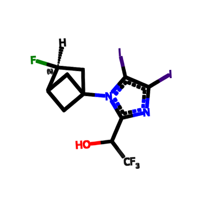 OC(c1nc(I)c(I)n1C12CC(C1)[C@@H](F)C2)C(F)(F)F